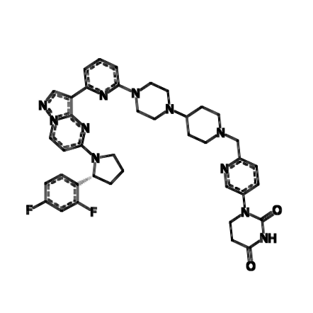 O=C1CCN(c2ccc(CN3CCC(N4CCN(c5cccc(-c6cnn7ccc(N8CCC[C@@H]8c8ccc(F)cc8F)nc67)n5)CC4)CC3)nc2)C(=O)N1